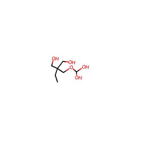 CCC(CO)(CO)COC(O)O